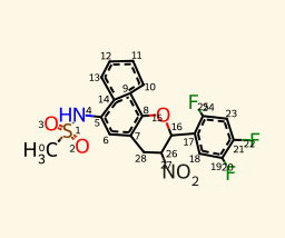 CS(=O)(=O)Nc1cc2c(c3ccccc13)OC(c1cc(F)c(F)cc1F)C([N+](=O)[O-])C2